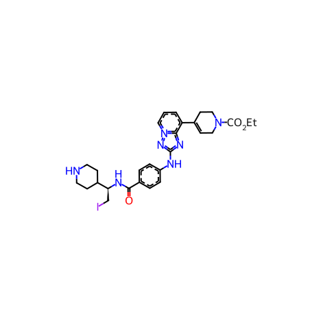 CCOC(=O)N1CC=C(c2cccn3nc(Nc4ccc(C(=O)N[C@@H](CI)C5CCNCC5)cc4)nc23)CC1